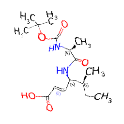 CC[C@H](C)[C@@H](/C=C/C(=O)O)NC(=O)[C@H](C)NC(=O)OC(C)(C)C